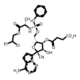 CCC(CC)COC(=O)[C@H](C)N[P@](=O)(OC[C@H]1O[C@@](C#N)(c2ccc3c(N)ncnn23)[C@H](O)[C@@H]1OC(=O)CCC(=O)O)Oc1ccccc1